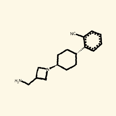 N#Cc1ccccc1[C@H]1CC[C@H](N2CC(CN)C2)CC1